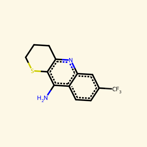 Nc1c2c(nc3cc(C(F)(F)F)ccc13)CCCS2